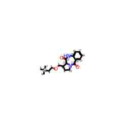 C[Si](C)(C)CCOCC1CCN2C(=O)c3ccccc3NC(=O)C12